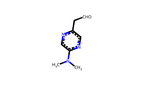 CN(C)c1cnc(CC=O)cn1